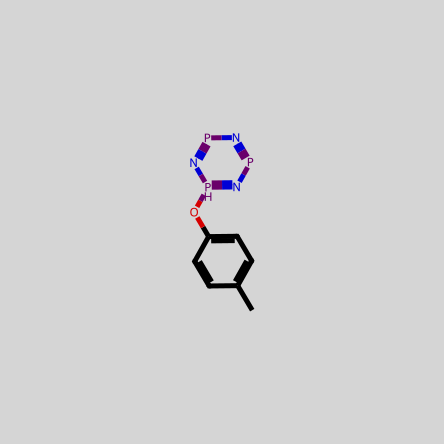 Cc1ccc(O[PH]2=NP=NP=N2)cc1